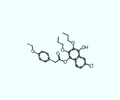 CCCOc1c(OCCC)c(OC(=O)Cc2ccc(OCC)cc2)c2ccc(Cl)cc2c1O